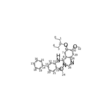 CCC(CC)Oc1cc2c(Nc3cc(-c4ccccc4)ccc3OC)ncnc2cc1OC